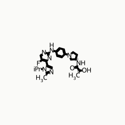 Cc1ncc(-c2nc(Nc3ccc(N4CC[C@H](NC(=O)[C@H](C)O)C4)cc3)ncc2F)n1C(C)C